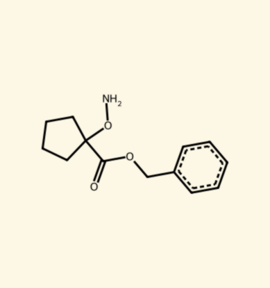 NOC1(C(=O)OCc2ccccc2)CCCC1